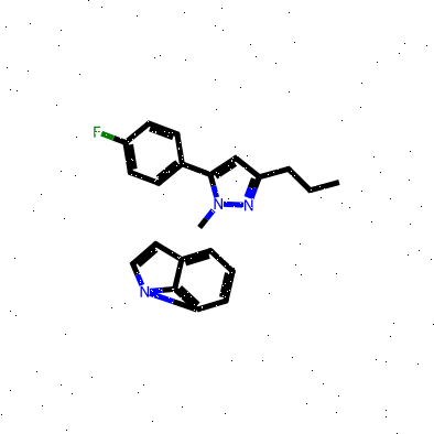 CCCc1cc(-c2ccc(F)cc2)n(C)n1.c1cc2c3c(c1)ccn3-2